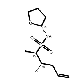 C=CC[C@H](C)[C@@H](C)S(=O)(=O)N[C@H]1CCCO1